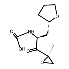 C[C@]1(C(=O)[C@H](C[C@@H]2CCCO2)NC(=O)O)CO1